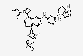 C=CC(=O)N1CC[C@H]1c1ccc(N2C[C@H](CS(C)(=O)=O)[C@H]2C)c2cnc(Nc3ccnc(N4CC[C@H]5COC[C@H]54)n3)cc12